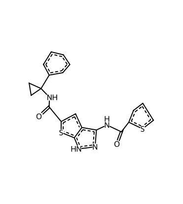 O=C(Nc1n[nH]c2sc(C(=O)NC3(c4ccccc4)CC3)cc12)c1cccs1